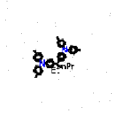 CCCC(CC)C(c1ccc(N(c2ccc(C)cc2)c2ccc(C)cc2)cc1)c1ccc(N(c2ccc(C)cc2)c2ccc(C)cc2)cc1